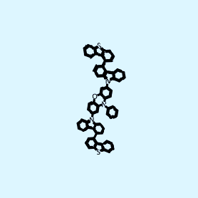 c1ccc(N2c3ccc(-n4c5ccccc5c5c(-c6cccc7sc8ccccc8c67)cccc54)cc3Oc3ccc(-n4c5ccccc5c5c(-c6cccc7sc8ccccc8c67)cccc54)cc32)cc1